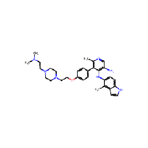 Cc1ncc(N)c(Nc2ccc3[nH]ccc3c2C)c1-c1ccc(OCCN2CCN(CCN(C)C)CC2)cc1